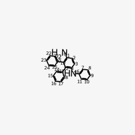 Nc1ccc(Nc2ccccc2)c(-c2ccccc2)c1-c1ccccc1